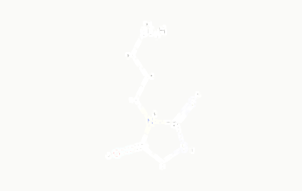 O=C1CSC(=S)N1CCCS(=O)(=O)O